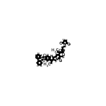 CCc1c2c(nc3ccc(O[Si](c4ccccc4)(c4ccccc4)C(C)(C)C)cc13)-c1cc3c(c(=O)n1C2)COC(=O)C3(CC)OC(=O)CCN1C(=O)C=CC1=O